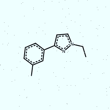 CCn1ccc(-c2cccc(C)c2)n1